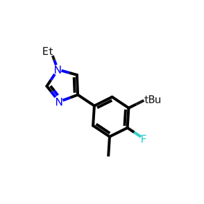 CCn1cnc(-c2cc(C)c(F)c(C(C)(C)C)c2)c1